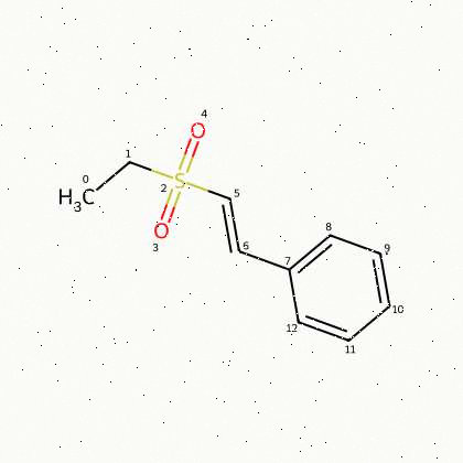 CCS(=O)(=O)C=Cc1c[c]ccc1